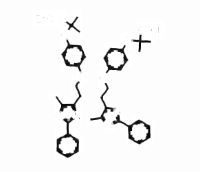 CCOC(=O)C(C)(C)Oc1ccc(OCCc2nc(-c3ccccc3)oc2C)cc1.Cc1oc(-c2ccccc2)nc1CCOc1ccc(OC(C)(C)C(=O)O)cc1